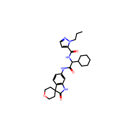 CCCn1nccc1C(=O)NC(C(=O)Nc1ccc2c(c1)NC(=O)C21CCOCC1)C1CCCCC1